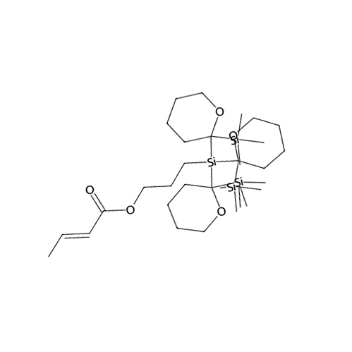 CC=CC(=O)OCCC[Si](C1([Si](C)(C)C)CCCCO1)(C1([Si](C)(C)C)CCCCO1)C1([Si](C)(C)C)CCCCO1